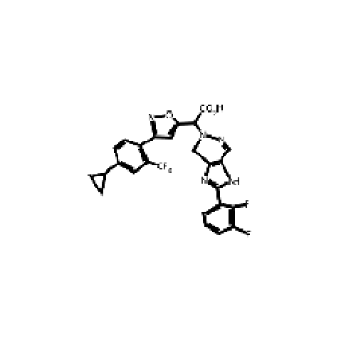 O=C(O)C(c1cc(-c2ccc(C3CC3)cc2C(F)(F)F)no1)N1Cc2nc(-c3cccc(F)c3F)[nH]c2C=N1